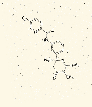 CN1C(=O)C[C@@](C)(c2cccc(NC(=O)c3ccc(Cl)cn3)c2)N=C1N